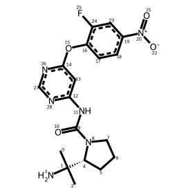 CC(C)(N)[C@H]1CCCN1C(=O)Nc1cc(Oc2ccc([N+](=O)[O-])cc2F)ncn1